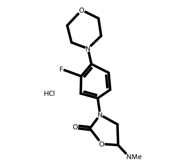 CNC1CN(c2ccc(N3CCOCC3)c(F)c2)C(=O)O1.Cl